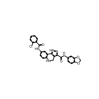 O=C(Nc1ccc2c(c1)-c1[nH]nc(C(=O)Nc3ccc4c(c3)OCO4)c1CN2)c1ccccc1Cl